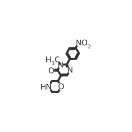 Cn1c(-c2ccc([N+](=O)[O-])cc2)ncc(C2CNCCO2)c1=O